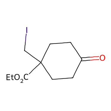 CCOC(=O)C1(CI)CCC(=O)CC1